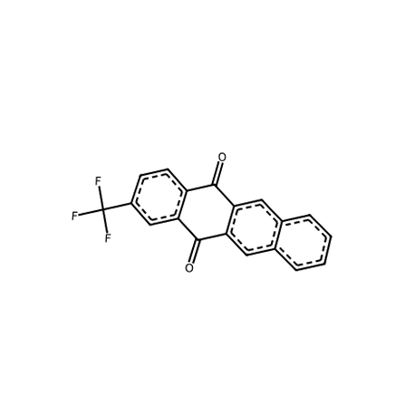 O=C1c2ccc(C(F)(F)F)cc2C(=O)c2cc3ccccc3cc21